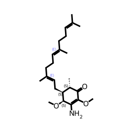 COC1=C(N)[C@@H](OC)[C@@H](C/C=C(\C)CC/C=C(\C)CCC=C(C)C)[C@H](C)C1=O